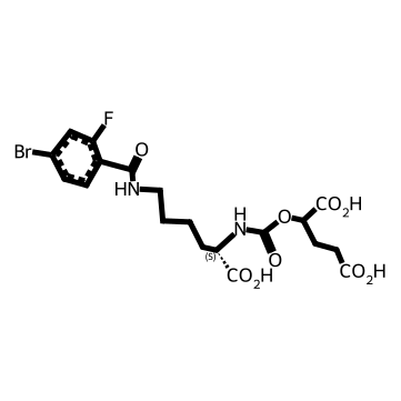 O=C(O)CCC(OC(=O)N[C@@H](CCCCNC(=O)c1ccc(Br)cc1F)C(=O)O)C(=O)O